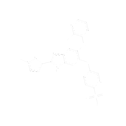 CCS(=O)(=O)c1ccc(Oc2cc3[nH]c(-c4ccn(C)n4)nc3cc2Oc2cccnc2Cl)cn1